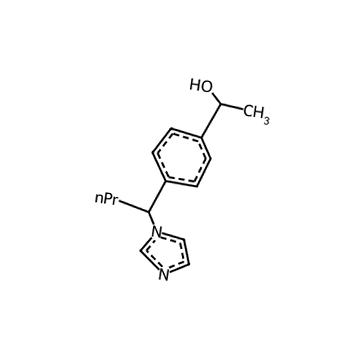 CCCC(c1ccc(C(C)O)cc1)n1ccnc1